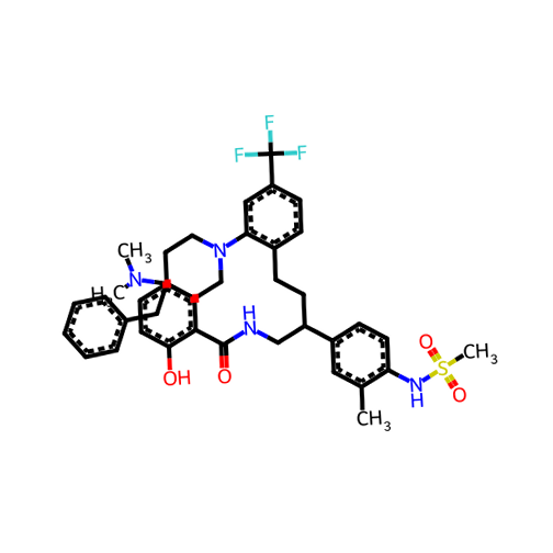 Cc1cc(C(CCc2ccc(C(F)(F)F)cc2N2CCC(Cc3ccccc3)(N(C)C)CC2)CNC(=O)c2ccccc2O)ccc1NS(C)(=O)=O